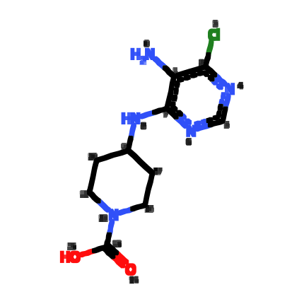 Nc1c(Cl)ncnc1NC1CCN(C(=O)O)CC1